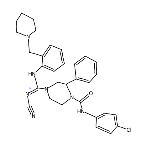 N#C/N=C(/Nc1ccccc1CN1CCCCC1)N1CCN(C(=O)Nc2ccc(Cl)cc2)C(c2ccccc2)C1